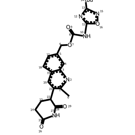 Cc1nc2cc(COC(=O)Nc3nc(C(C)(C)C)no3)ccc2cc1C1CCC(=O)NC1=O